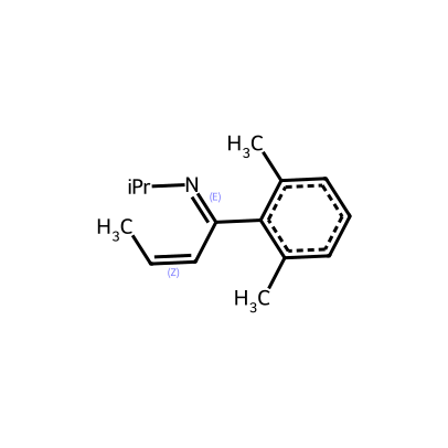 C/C=C\C(=N/C(C)C)c1c(C)cccc1C